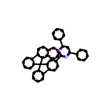 c1ccc(-c2cc(-c3ccccc3)nc(-c3ccc4c(c3)C3(c5ccccc5-4)c4ccccc4-c4ccc5ccccc5c43)n2)cc1